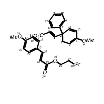 COC1=CCC(C=CC(=O)O)(c2ccccc2)C=C1.COc1ccc(C=CC(=O)OCCC(C)C)cc1